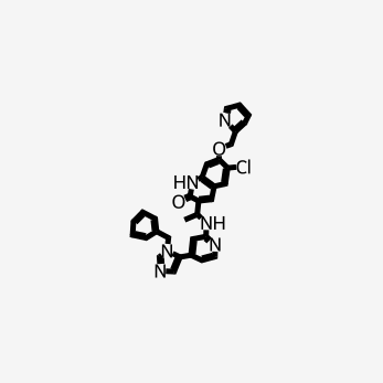 CC(Nc1cc(-c2cncn2Cc2ccccc2)ccn1)c1cc2cc(Cl)c(OCc3ccccn3)cc2[nH]c1=O